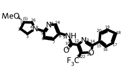 CO[C@H]1CCN(c2ccc(NC(=O)c3nc(-c4ccccc4)oc3C(F)(F)F)cn2)C1